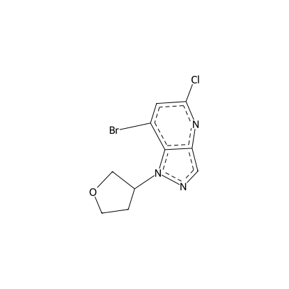 Clc1cc(Br)c2c(cnn2C2CCOC2)n1